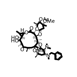 CO[C@]1(C)C[C@H](O[C@H]2[C@H](C)[C@@H](O[C@@H]3O[C@H](C)C[C@@H](N(C)Cc4ccccc4)[C@@H]3N(C)C)[C@@](C)(OC)C[C@@H](C)C(=O)[C@H](C)[C@@H](O)[C@@]3(O)C(C)[C@H]3OC(=O)[C@@H]2C)O[C@@H](C)[C@@H]1OC(C)=O